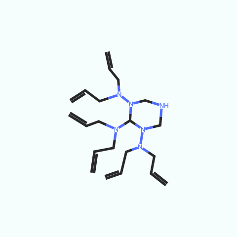 C=CCN(CC=C)C1N(N(CC=C)CC=C)CNCN1N(CC=C)CC=C